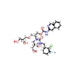 O=C(Nc1cc2ccccc2cn1)OC[C@H](COC[C@H](O)CO)N(C[C@H](O)CO)C(=O)NCc1cccc(F)c1Cl